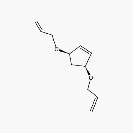 C=CCO[C@@H]1C=C[C@H](OCC=C)C1